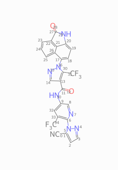 N#Cc1ccnn1-c1ncc(NC(=O)c2cnn(-c3ccc4c5c(cccc35)C(=O)N4)c2C(F)(F)F)cc1C(F)(F)F